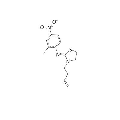 C=CCCN1CCS/C1=N\c1ccc([N+](=O)[O-])cc1C